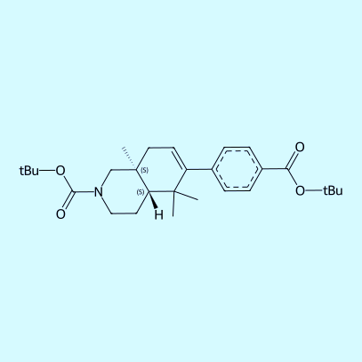 CC(C)(C)OC(=O)c1ccc(C2=CC[C@]3(C)CN(C(=O)OC(C)(C)C)CC[C@H]3C2(C)C)cc1